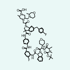 CC1COCCN1CC1CN(C(=O)O)C(C)CN1CC(=O)N1CC(C)(C(=O)Nc2ccc(NC(=O)c3ccc(F)c(NC(=O)[C@@H]4c5ccccc5CN4C(=O)C(NC(=O)C(C)N(C)C(=O)OC(C)(C)C)C4CCOCC4)c3)cc2)c2ccc(Cc3ccc(F)cc3)cc21